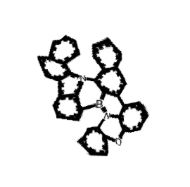 c1ccc2c(c1)Oc1cccc3c1N2B1c2c-3cc3ccccc3c2-n2c3c1cccc3c1ccc3ccccc3c12